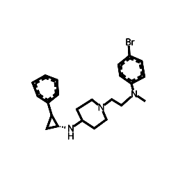 CN(CCN1CCC(N[C@@H]2CC2c2ccccc2)CC1)c1ccc(Br)cc1